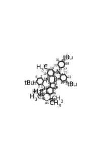 C=Cc1cc(C(C)(C)C)ccc1N1c2cc(C)cc3c2B(c2cc(C(C)(C)C)ccc2N3c2ccc(C(C)(C)C)cc2)c2sc3cc4c(cc3c21)C(C)(C)CCC4(C)C